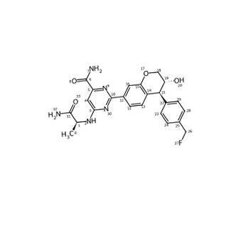 C[C@H](Nc1cc(C(N)=O)nc(-c2ccc3c(c2)OC[C@H](O)[C@H]3c2ccc(CF)cc2)n1)C(N)=O